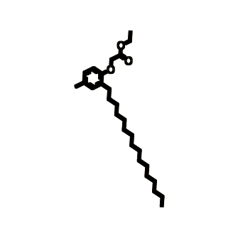 CCCCCCCCCCCCCCCCc1cc(C)ccc1OCC(=O)OCC